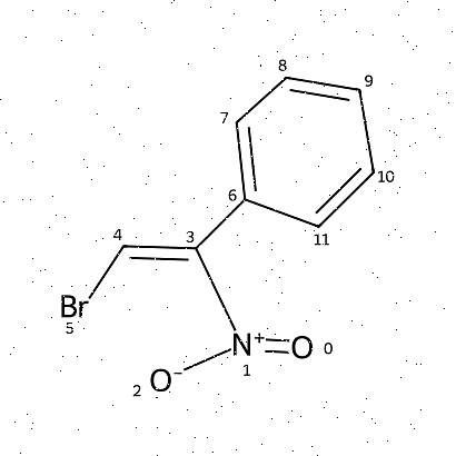 O=[N+]([O-])C(=CBr)c1ccccc1